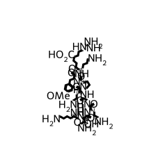 COc1ccc(CC(NC(=O)[C@@H]2CCCN2C(=O)[C@@H](CCCN)NC(=O)CNC(=O)[C@H](CCCN)NC(=O)[C@@H](NC(=O)[C@@H](N)CCCCN)[C@@H](O)CN)C(=O)N[C@@H](CCCCN)C(=O)CCC(CCCNC(=N)N)C(=O)O)cc1